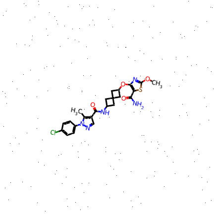 COc1nc(OC2CC3(CC(NC(=O)c4cnn(-c5ccc(Cl)cc5)c4C)C3)C2)c(C(N)=O)s1